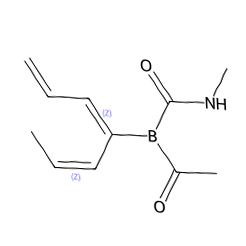 C=C/C=C(\C=C/C)B(C(C)=O)C(=O)NC